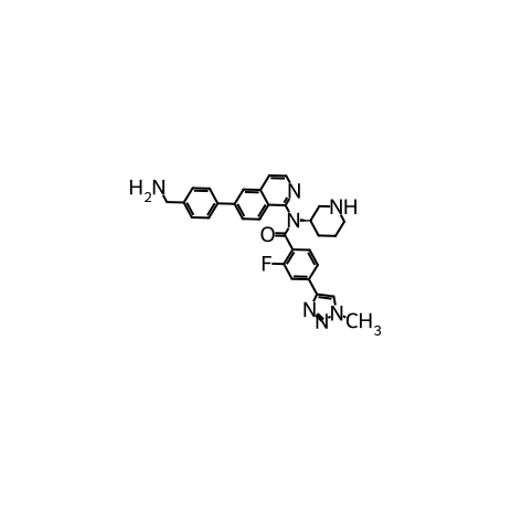 Cn1cc(-c2ccc(C(=O)N(c3nccc4cc(-c5ccc(CN)cc5)ccc34)[C@@H]3CCCNC3)c(F)c2)nn1